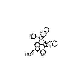 ON=CC1C=Cc2c1ccc(-c1nc(CN3CCCCC3)[nH]c1-c1ccncc1)c2-c1nc(CN2CCCCC2)[nH]c1-c1ccncc1